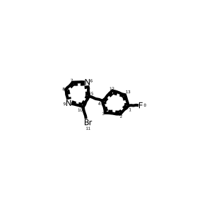 Fc1ccc(-c2nccnc2Br)cc1